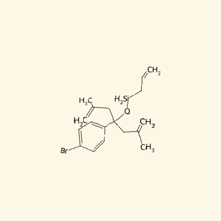 C=CC[SiH2]OC(CC(=C)C)(CC(=C)C)c1ccc(Br)cc1